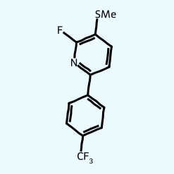 CSc1ccc(-c2ccc(C(F)(F)F)cc2)nc1F